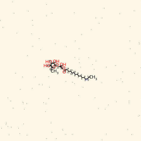 CC/C=C\CCCCCCCCCCCC(=O)OC[C@@H](O)CO[C@H]1O[C@H](CC)[C@@H](O)C(O)C1O